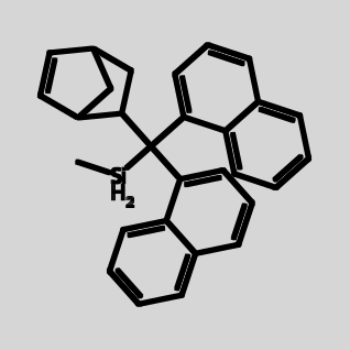 C[SiH2]C(c1cccc2ccccc12)(c1cccc2ccccc12)C1CC2C=CC1C2